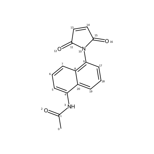 CC(=O)Nc1cccc2c(N3C(=O)C=CC3=O)cccc12